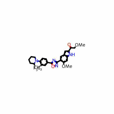 COCC(=O)c1cc2cc(-c3noc(-c4ccc(N5CCCCC5C)c(C(F)(F)F)c4)n3)c(OC)cc2[nH]1